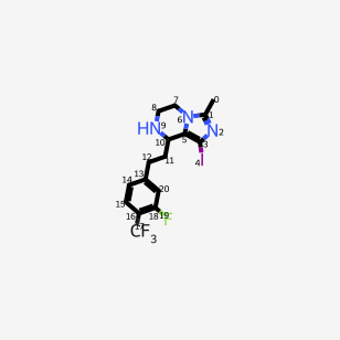 Cc1nc(I)c2n1CCNC2CCc1ccc(C(F)(F)F)c(F)c1